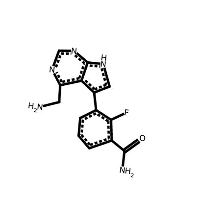 NCc1ncnc2[nH]cc(-c3cccc(C(N)=O)c3F)c12